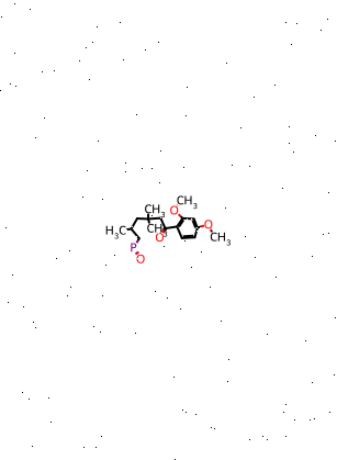 COc1ccc(C(=O)CC(C)(C)CC(C)CP=O)c(OC)c1